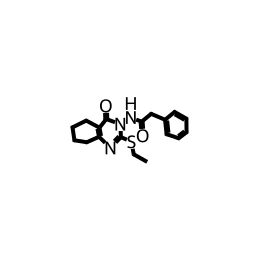 CCSc1nc2c(c(=O)n1NC(=O)Cc1ccccc1)CCCC2